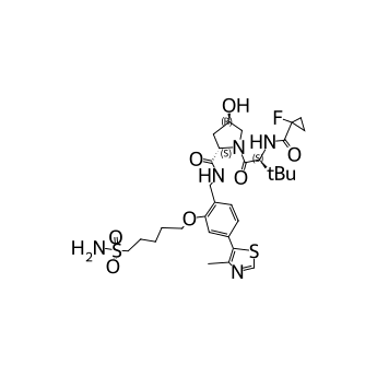 Cc1ncsc1-c1ccc(CNC(=O)[C@@H]2C[C@@H](O)CN2C(=O)[C@@H](NC(=O)C2(F)CC2)C(C)(C)C)c(OCCCCCS(N)(=O)=O)c1